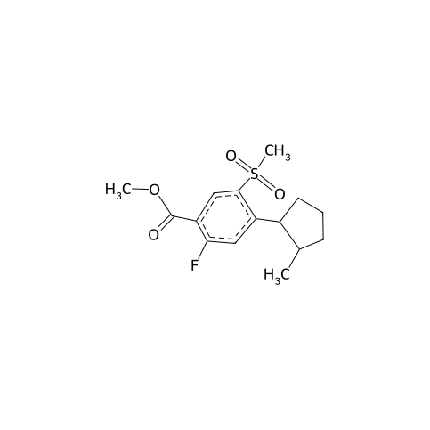 COC(=O)c1cc(S(C)(=O)=O)c(C2CCCC2C)cc1F